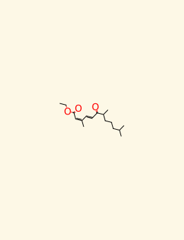 CCOC(=O)C=C(C)C=CC(=O)C(C)CCCC(C)C